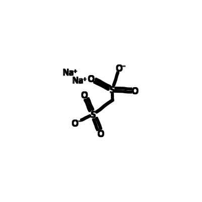 O=S(=O)([O-])CS(=O)(=O)[O-].[Na+].[Na+]